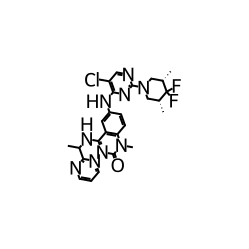 CC(Nc1nc(=O)n(C)c2ccc(Nc3nc(N4C[C@@H](C)C(F)(F)[C@@H](C)C4)ncc3Cl)cc12)c1ncccn1